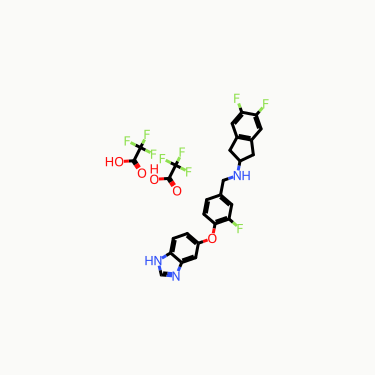 Fc1cc2c(cc1F)CC(NCc1ccc(Oc3ccc4[nH]cnc4c3)c(F)c1)C2.O=C(O)C(F)(F)F.O=C(O)C(F)(F)F